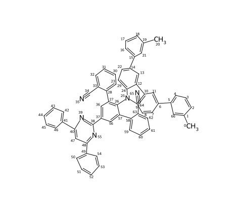 Cc1cccc(-c2ccc3c(c2)c2cc(-c4cccc(C)c4)ccc2n3-c2c(-c3ccccc3C#N)cc(-c3nc(-c4ccccc4)cc(-c4ccccc4)n3)cc2-c2ccccc2C#N)c1